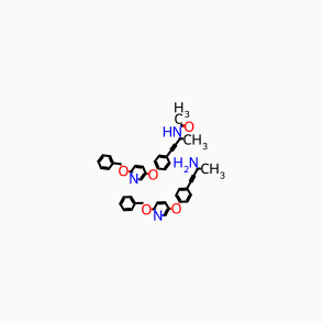 CC(=O)NC(C)C#Cc1ccc(Oc2ccc(OCc3ccccc3)nc2)cc1.CC(N)C#Cc1ccc(Oc2ccc(OCc3ccccc3)nc2)cc1